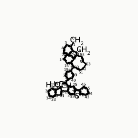 C=Cc1ccccc1C(=C)C1=c2\cccc\c2=C(c2ccc(C(=C)c3cc4c(cc3C3=Cc5ccccc5C3(C)C)sc3ccccc34)cc2)\C=C\CC\C=C\1